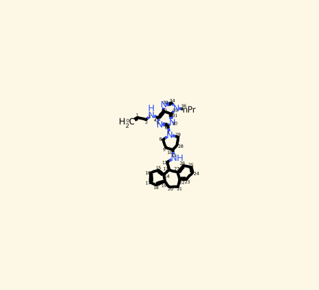 C=CCNc1nc(N2CCC(NCC3c4ccccc4CCc4ccccc43)CC2)nc2c1ncn2CCC